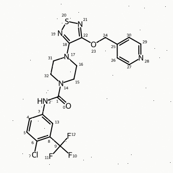 O=C(Nc1ccc(Cl)c(C(F)(F)F)c1)N1CCN(c2nsnc2OCc2ccncc2)CC1